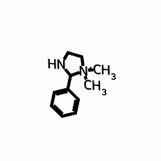 C[N+]1(C)CCNC1c1ccccc1